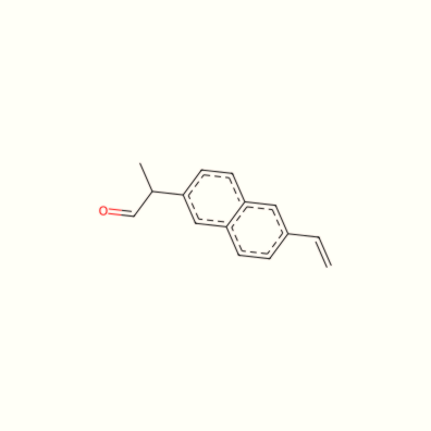 C=Cc1ccc2cc(C(C)C=O)ccc2c1